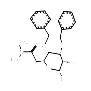 CC[C@H]1O[C@@H](CC(=O)N(C)OC)[C@H](OCc2ccccc2)[C@@H](OCc2ccccc2)[C@H]1C